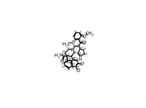 COc1cccc(OC)c1C(=O)C(CN1CCC(C(N)=O)(c2ccccc2)C(c2ccc(Cl)c(Cl)c2)C1)C1CCNC1